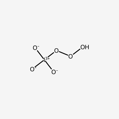 [O-][I+3]([O-])([O-])OOO